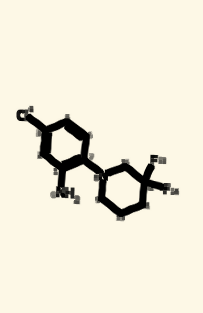 Nc1cc(Cl)ccc1N1CCCC(F)(F)C1